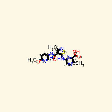 COc1ccc(NC(=O)c2c(C)nsc2Nc2cnc(C)c(C(=O)O)n2)cn1